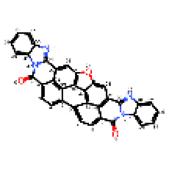 O=c1c2ccc3c4ccc5c(=O)n6c7ccccc7nc6c6cc7oc8cc(c2c3c8c7c4c56)c2nc3ccccc3n12